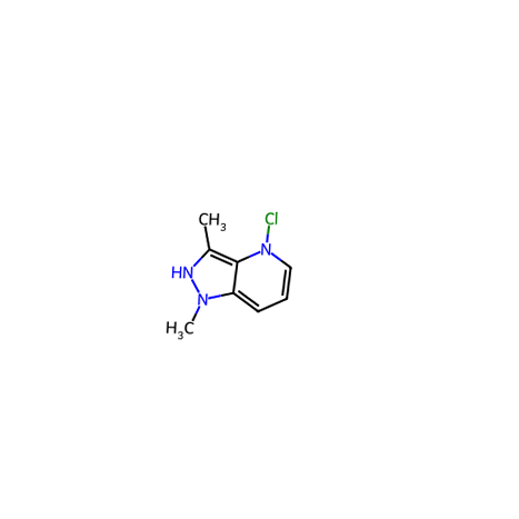 CC1=C2C(=CC=CN2Cl)N(C)N1